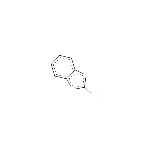 CC(C)COc1nc2ccccc2o1